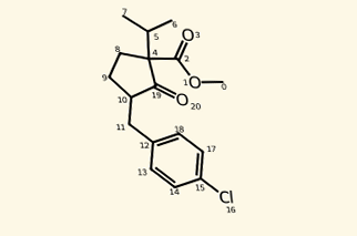 COC(=O)C1(C(C)C)CCC(Cc2ccc(Cl)cc2)C1=O